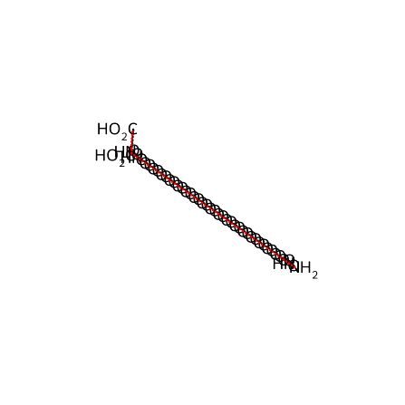 NOCCNC(=O)CCOCCOCCOCCOCCOCCOCCOCCOCCOCCOCCOCCOCCOCCOCCOCCOCCOCCOCCOCCOCCOCCOCCOCCOCCOCCOCCOCCOCCOCCOCCOCCOCCOCCOCCOCCOCCNC(=O)CC[C@H](NC(=O)CCCCCCCCCCCCC(=O)O)C(=O)O